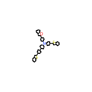 c1ccc2oc(-c3ccc(N(c4ccc(-c5ccc(-c6cc7ccccc7s6)cc5)cc4)c4ccc(-c5cc6ccccc6s5)cc4)cc3)cc2c1